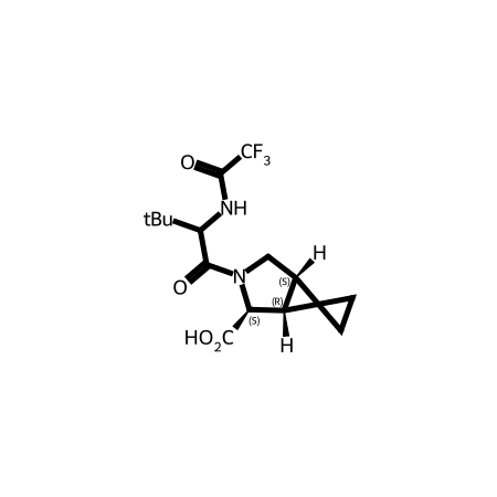 CC(C)(C)C(NC(=O)C(F)(F)F)C(=O)N1C[C@H]2[C@@H]([C@H]1C(=O)O)C21CC1